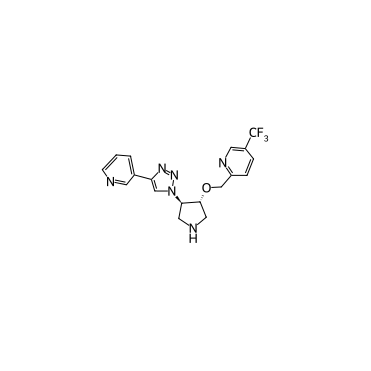 FC(F)(F)c1ccc(CO[C@@H]2CNC[C@H]2n2cc(-c3cccnc3)nn2)nc1